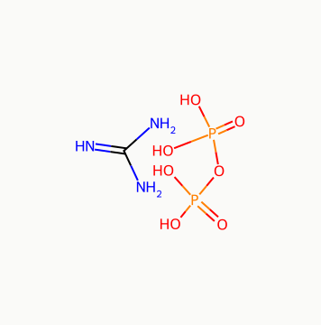 N=C(N)N.O=P(O)(O)OP(=O)(O)O